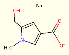 Cn1cc(C(=O)[O-])cc1CO.[Na+]